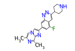 Cc1cn2cc(-c3cc(F)c4cc(C5CCNCC5)nnc4c3)nc2c(C)n1